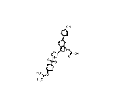 CC(C)Oc1ccc(S(=O)(=O)N2CCC(c3cn(CC(=O)O)c4cc(-c5ccc(O)cc5)ccc34)C2)cc1